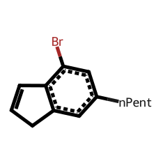 CCCCCc1cc(Br)c2c(c1)CC=C2